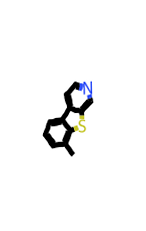 Cc1cccc2c1sc1cnccc12